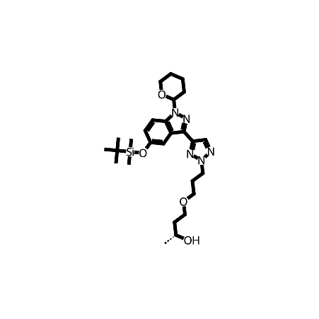 C[C@@H](O)CCOCCCn1ncc(-c2nn(C3CCCCO3)c3ccc(O[Si](C)(C)C(C)(C)C)cc23)n1